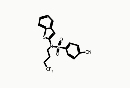 N#Cc1ccc(S(=O)(=O)N(CCCC(F)(F)F)c2cc3ccccc3s2)cc1